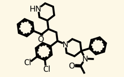 CC(=O)N(C)C1(c2ccccc2)CCN(C(CC(C(=O)c2ccccc2)C2CCCNC2)c2ccc(Cl)c(Cl)c2)CC1